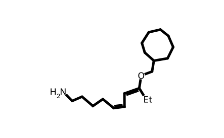 CC/C(=C\C=C/CCCCN)OCC1CCCCCCC1